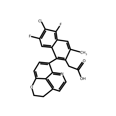 Cc1cc2c(F)c(Cl)c(F)cc2c(-c2ccc3c4c(ccnc24)CCO3)c1CC(=O)O